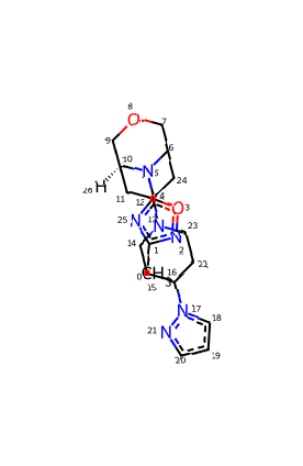 Cc1noc(N2C3COC[C@@H]2CC(N2CCC(n4cccn4)CC2)C3)n1